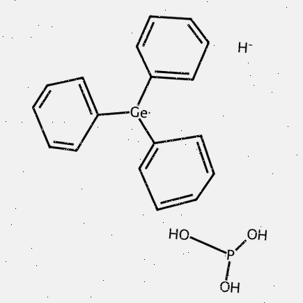 OP(O)O.[H-].c1cc[c]([Ge]([c]2ccccc2)[c]2ccccc2)cc1